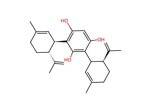 C=C(C)[C@H]1CCC(C)=CC1c1c(O)cc(O)c([C@@H]2C=C(C)CC[C@H]2C(=C)C)c1O